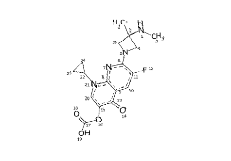 CNC1(C)CN(c2nc3c(cc2F)c(=O)c(OC(=O)O)cn3C2CC2)C1